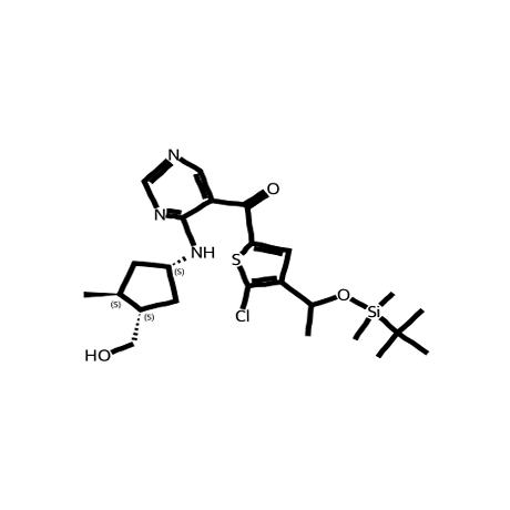 CC(O[Si](C)(C)C(C)(C)C)c1cc(C(=O)c2cncnc2N[C@@H]2C[C@H](CO)[C@@H](C)C2)sc1Cl